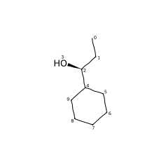 CC[C@H](O)C1CCCCC1